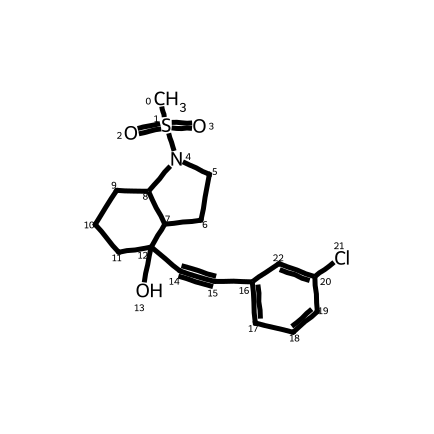 CS(=O)(=O)N1CCC2C1CCCC2(O)C#Cc1cccc(Cl)c1